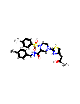 COC(=O)Cc1csc(N2CCN(S(=O)(=O)c3ccc(C(F)(F)F)cc3)C(C(=O)NCc3ccc(C(C)C)cc3)C2)n1